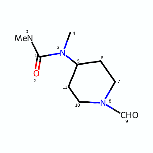 CNC(=O)N(C)C1CCN(C=O)CC1